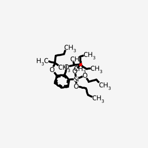 CCCO[Si](OCCC)(OCCC)c1cccc(OC(C)(C)CCC)c1OC(C)(C)CCC